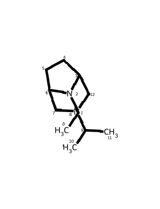 CCN1C2CCC1CN(C(C)C)C2